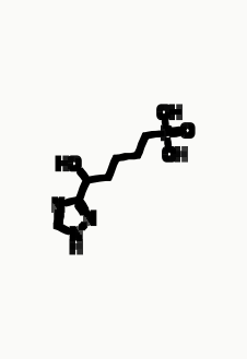 O=P(O)(O)CCCCC(O)c1nc[nH]n1